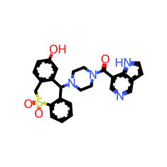 O=C(c1cncc2cc[nH]c12)N1CCN(C2c3cc(O)ccc3CS(=O)(=O)c3ccccc32)CC1